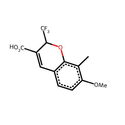 COc1ccc2c(c1C)OC(C(F)(F)F)C(C(=O)O)=C2